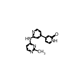 Cc1nccc(Nc2cc(-c3cc[nH]c(=O)c3)ccn2)n1